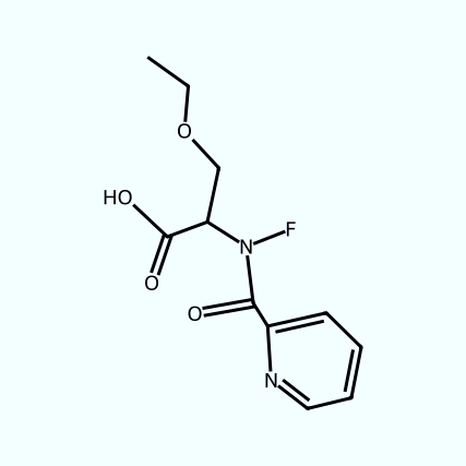 CCOCC(C(=O)O)N(F)C(=O)c1ccccn1